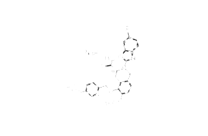 COc1ccc(COc2c(OC)ccc3c2C[C@@H](C(=O)O)N(c2nc4ccc(F)cc4o2)C3)nc1.[NaH]